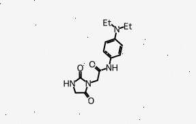 CCN(CC)c1ccc(NC(=O)CN2C(=O)CNC2=O)cc1